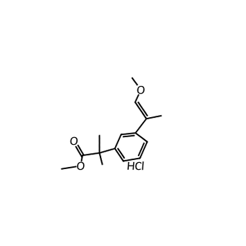 COC=C(C)c1cccc(C(C)(C)C(=O)OC)c1.Cl